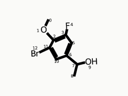 COc1c(F)cc(C(C)O)cc1Br